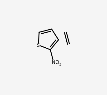 C=C.O=[N+]([O-])c1cccs1